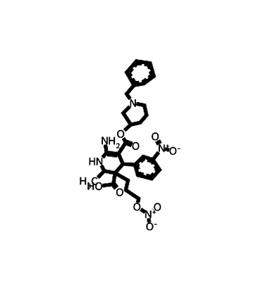 CC1NC(N)=C(C(=O)OC2CCCN(Cc3ccccc3)C2)C(c2cccc([N+](=O)[O-])c2)C1(CCCO[N+](=O)[O-])C(=O)O